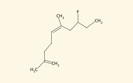 C=C(C)CC/C=C(/C)CC(F)CC